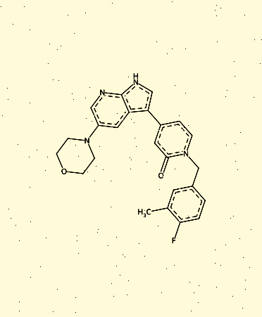 Cc1cc(Cn2ccc(-c3c[nH]c4ncc(N5CCOCC5)cc34)cc2=O)ccc1F